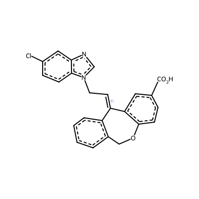 O=C(O)c1ccc2c(c1)/C(=C/Cn1cnc3cc(Cl)ccc31)c1ccccc1CO2